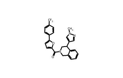 Cn1cc(C2CN(C(=O)c3ccc(-c4ccc(C(F)(F)F)cc4)o3)Cc3ccccc32)cn1